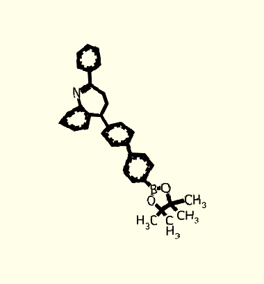 CC1(C)OB(c2ccc(-c3ccc(C4CCC(c5ccccc5)=Nc5ccccc54)cc3)cc2)OC1(C)C